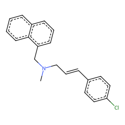 CN(CC=Cc1ccc(Cl)cc1)Cc1cccc2ccccc12